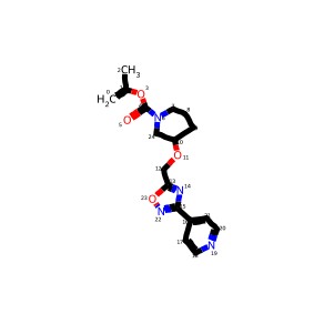 C=C(C)OC(=O)N1CCCC(OCc2nc(-c3ccncc3)no2)C1